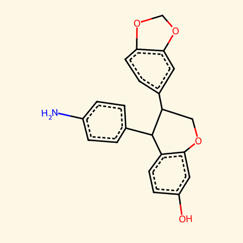 Nc1ccc(C2c3ccc(O)cc3OCC2c2ccc3c(c2)OCO3)cc1